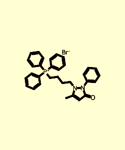 Cc1cc(=O)n(-c2ccccc2)n1CCCC[P+](c1ccccc1)(c1ccccc1)c1ccccc1.[Br-]